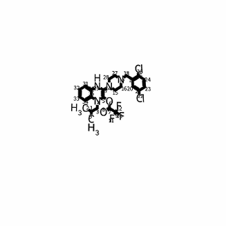 CC(C)CN1C(OC(=O)C(F)(F)F)=C(N2CCN(Cc3cc(Cl)ccc3Cl)CC2)Nc2ccccc21